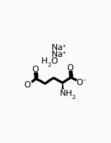 N[C@@H](CCC(=O)[O-])C(=O)[O-].O.[Na+].[Na+]